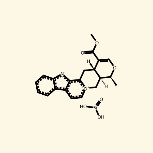 COC(=O)C1=CO[C@@H](C)[C@H]2C[n+]3ccc4c([n-]c5ccccc54)c3C[C@H]12.O=[Si](O)O